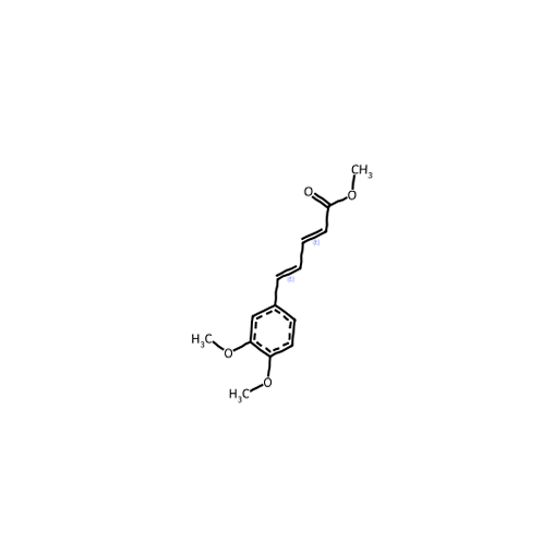 COC(=O)/C=C/C=C/c1ccc(OC)c(OC)c1